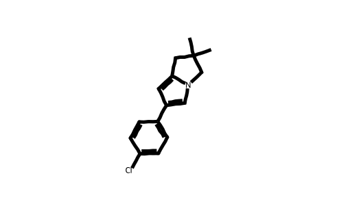 CC1(C)Cc2cc(-c3ccc(Cl)cc3)cn2C1